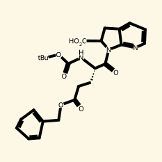 CC(C)(C)OC(=O)N[C@@H](CCC(=O)OCc1ccccc1)C(=O)N1c2ncccc2CC1C(=O)O